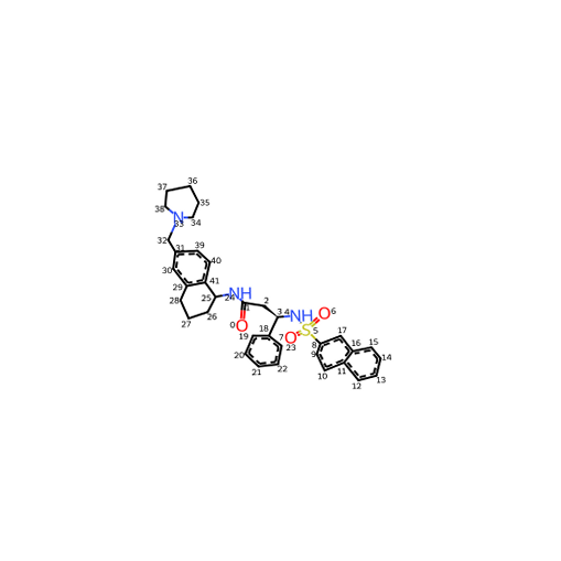 O=C(C[C@@H](NS(=O)(=O)c1ccc2ccccc2c1)c1ccccc1)NC1CCCc2cc(CN3CCCCC3)ccc21